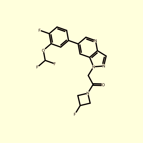 O=C(Cn1ncc2ncc(-c3ccc(F)c(OC(F)F)c3)cc21)N1CC(F)C1